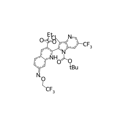 CCS(=O)(=O)c1cc2cc/c(=N/OCC(F)(F)F)cc-2[nH]c1-c1c(Cl)c2ncc(C(F)(F)F)cc2n1C(=O)OC(C)(C)C